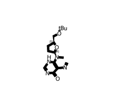 C=Nc1c(N(C)[C@H]2CC[C@@H](COC(C)(C)C)O2)[nH]cnc1=O